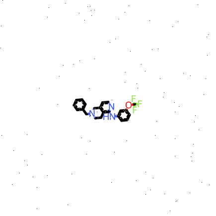 FC(F)(F)Oc1cccc(Nc2nccc3c2CCN(Cc2ccccc2)C3)c1